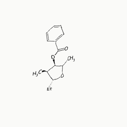 CC[C@H]1OC(C)[C@H](OC(=O)c2ccccc2)[C@@H]1C